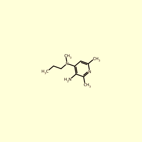 CCCN(C)c1cc(C)nc(C)c1N